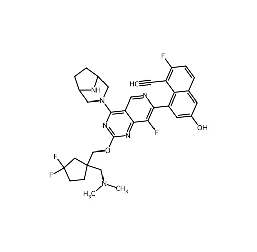 C#Cc1c(F)ccc2cc(O)cc(-c3ncc4c(N5CC6CCC(C5)N6)nc(OCC5(CN(C)C)CCC(F)(F)C5)nc4c3F)c12